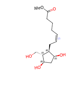 COC(=O)CCC/C=C\C[C@@H]1[C@@H](CO)[C@H](O)C[C@@H]1O